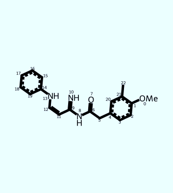 COc1ccc(CC(=O)NC(=N)/C=C\Nc2ccccc2)cc1C